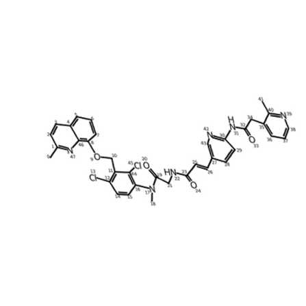 Cc1ccc2cccc(OCc3c(Cl)ccc(N(C)C(=O)CNC(=O)C=Cc4ccc(NC(=O)Cc5cccnc5C)nc4)c3Cl)c2n1